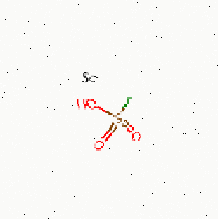 O=S(=O)(O)F.[Sc]